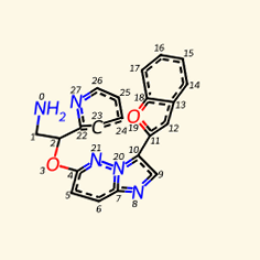 NCC(Oc1ccc2ncc(-c3cc4ccccc4o3)n2n1)c1ccccn1